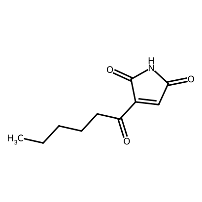 CCCCCC(=O)C1=CC(=O)NC1=O